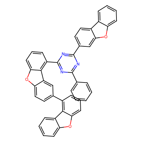 c1ccc(-c2nc(-c3ccc4c(c3)oc3ccccc34)nc(-c3cccc4oc5ccc(-c6cccc7oc8ccccc8c67)cc5c34)n2)cc1